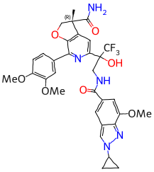 COc1ccc(-c2nc(C(O)(CNC(=O)c3cc(OC)c4nn(C5CC5)cc4c3)C(F)(F)F)cc3c2OC[C@]3(C)C(N)=O)cc1OC